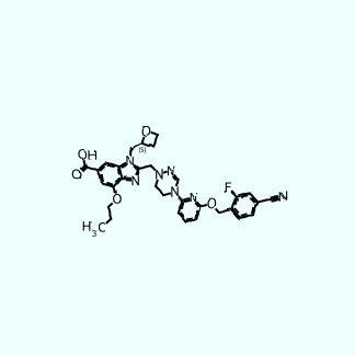 CCCOc1cc(C(=O)O)cc2c1nc(CN1CCN(c3cccc(OCc4ccc(C#N)cc4F)n3)C=N1)n2C[C@@H]1CCO1